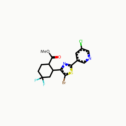 COC(=O)C1CCC(F)(F)CC1c1nc(-c2cncc(Cl)c2)sc1Br